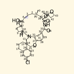 C[C@@H]1C/C=C\[C@H](O)[C@@H]2CC[C@H]2CN2C[C@@]3(CCCc4cc(Cl)ccc43)COc3ccc(cc32)C(=O)NS(=O)(=O)[C@H]1C[C@@H]1CCO1